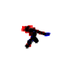 C[C@@H]1CN(C(=O)OC(C)(C)C)CCN1CCOc1cc(N2C3CCC2CN(c2cc(-c4ccccc4OS(=O)(=O)Oc4cc(C(=O)NCCOCCOCCOCCN=[N+]=[N-])ccc4O[C@@H]4O[C@H](CO)[C@H](O)[C@H](O)[C@H]4O)nnc2N)C3)ccn1